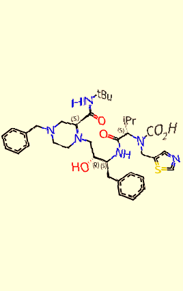 CC(C)[C@@H](C(=O)N[C@@H](Cc1ccccc1)[C@H](O)CN1CCN(Cc2ccccc2)C[C@H]1C(=O)NC(C)(C)C)N(Cc1cncs1)C(=O)O